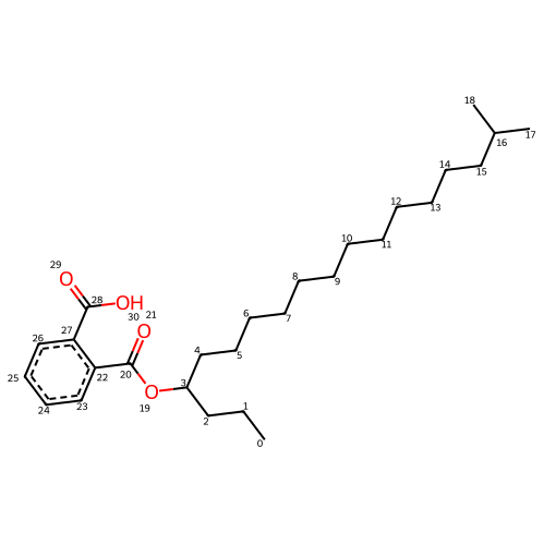 CCCC(CCCCCCCCCCCCC(C)C)OC(=O)c1ccccc1C(=O)O